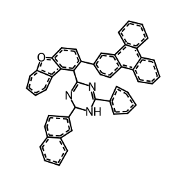 c1ccc(C2=NC(c3c(-c4ccc5c6ccccc6c6ccccc6c5c4)ccc4oc5ccccc5c34)=NC(c3ccc4ccccc4c3)N2)cc1